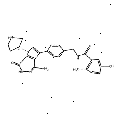 Cc1ccc(C)c(C(=O)NCc2ccc(-c3cn([C@@H]4CCNC4)c4c(=O)[nH]nc(N)c34)cc2)c1